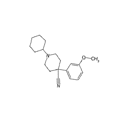 COc1cccc(C2(C#N)CCN(C3CCCCC3)CC2)c1